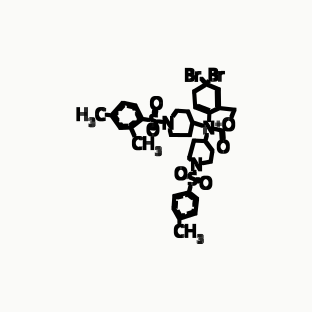 Cc1ccc(S(=O)(=O)N2CCC([N+]3(C4CCN(S(=O)(=O)c5ccc(C)cc5C)CC4)C(=O)OCC4=CC(Br)(Br)CC=C43)CC2)cc1